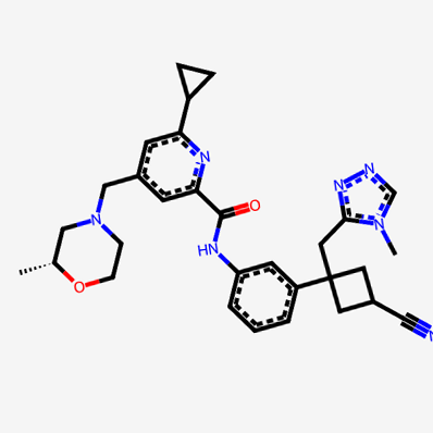 C[C@@H]1CN(Cc2cc(C(=O)Nc3cccc(C4(Cc5nncn5C)CC(C#N)C4)c3)nc(C3CC3)c2)CCO1